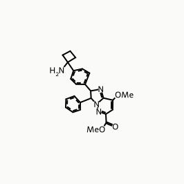 COC(=O)C1=NN2C(=NC(c3ccc(C4(N)CCC4)cc3)C2c2ccccc2)C(OC)=C1